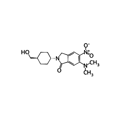 CN(C)c1cc2c(cc1[N+](=O)[O-])CN([C@H]1CC[C@H](CO)CC1)C2=O